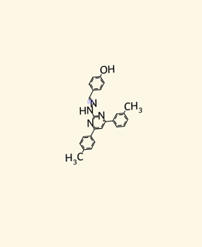 Cc1ccc(-c2cc(-c3cccc(C)c3)nc(N/N=C/c3ccc(O)cc3)n2)cc1